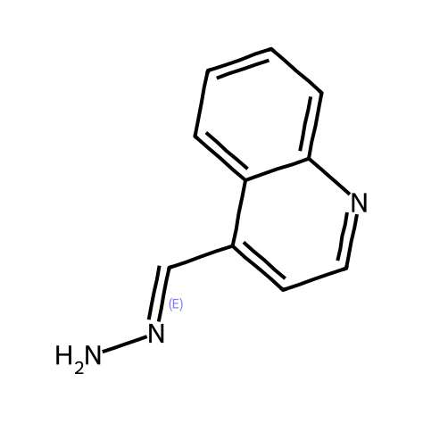 N/N=C/c1ccnc2ccccc12